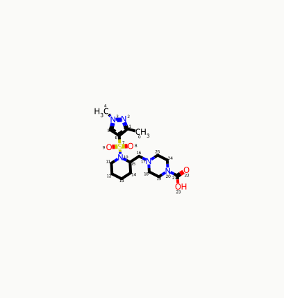 Cc1nn(C)cc1S(=O)(=O)N1CCCCC1CN1CCN(C(=O)O)CC1